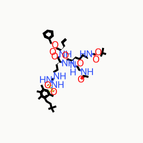 C=CC[C@H](NC(=O)[C@@H](CCCNC(=N)NS(=O)(=O)c1c(C)c(C)c(C)c(CCC(C)(C)C)c1C)NC(=O)[C@@H](CCCCNC(=O)OC(C)(C)C)NC(=O)CNC(C)=O)C(=O)OCc1ccccc1